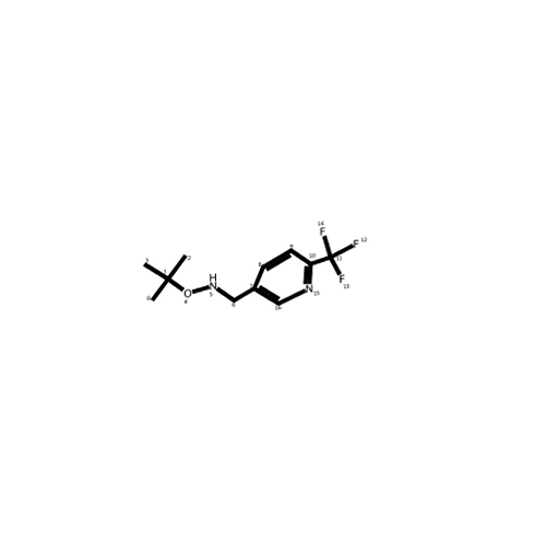 CC(C)(C)ONCc1ccc(C(F)(F)F)nc1